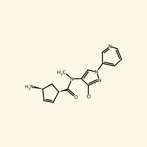 CN(C(=O)[C@H]1C=C[C@@H](N)C1)c1cn(-c2cccnc2)nc1Cl